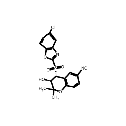 [C-]#[N+]c1ccc2c(c1)[C@@H](S(=O)(=O)c1nc3cc(Cl)ccc3o1)[C@H](O)C(C)(C)O2